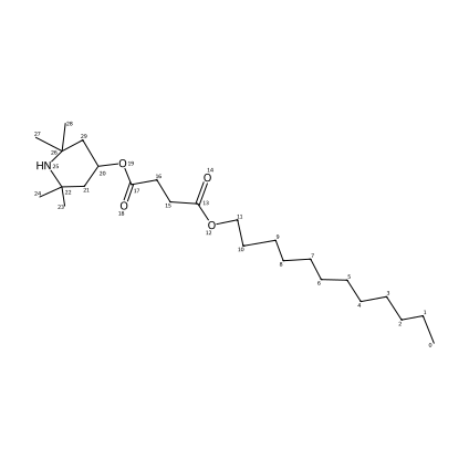 CCCCCCCCCCCCOC(=O)CCC(=O)OC1CC(C)(C)NC(C)(C)C1